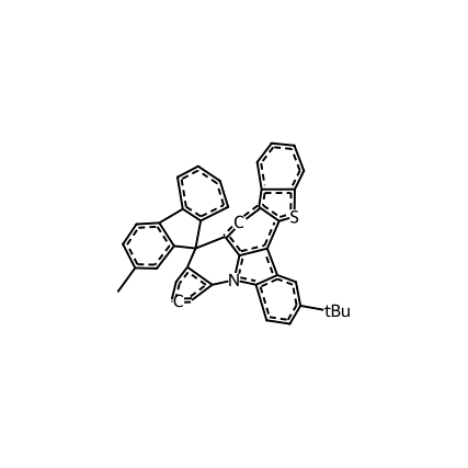 Cc1ccc2c(c1)C1(c3ccccc3-2)c2ccccc2-n2c3ccc(C(C)(C)C)cc3c3c4sc5ccccc5c4cc1c32